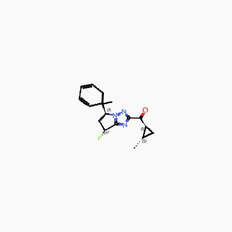 C[C@H]1C[C@@H]1C(=O)c1nc2n(n1)[C@H](C1(C)C=CC=CC1)C[C@@H]2F